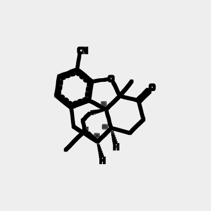 CN1CC[C@]23c4c5ccc(C#N)c4OC2(C)C(=O)CC[C@H]3[C@H]1C5